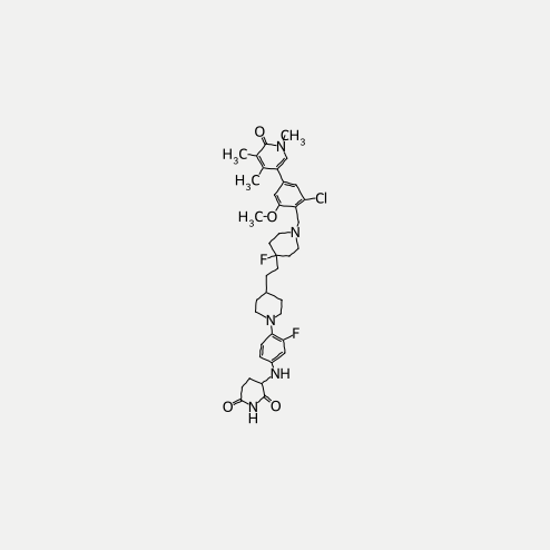 COc1cc(-c2cn(C)c(=O)c(C)c2C)cc(Cl)c1CN1CCC(F)(CCC2CCN(c3ccc(NC4CCC(=O)NC4=O)cc3F)CC2)CC1